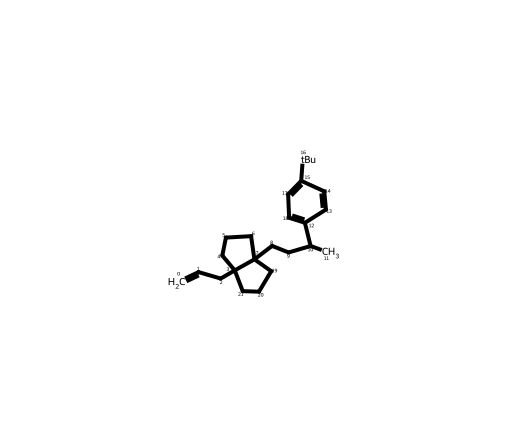 C=CCC12CCCC1(CCC(C)c1ccc(C(C)(C)C)cc1)CCC2